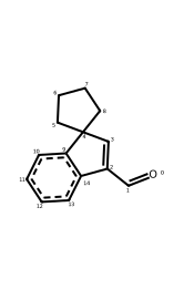 O=CC1=CC2(CCCC2)c2ccccc21